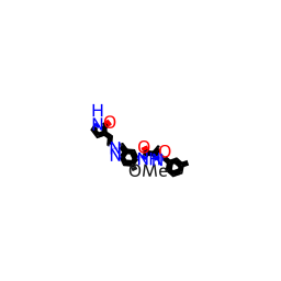 COc1cc2nn(CCC3CCNC3=O)cc2cc1NC(=O)c1coc(-c2cccc(C)c2)n1